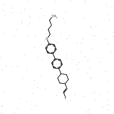 CCCCCOc1ccc(-c2ccc(C3CCC(C=CF)CC3)cc2)cc1